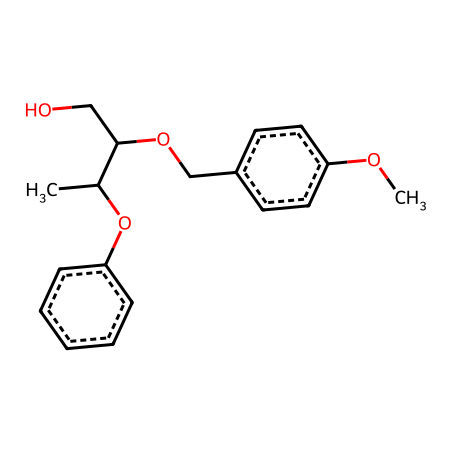 COc1ccc(COC(CO)C(C)Oc2ccccc2)cc1